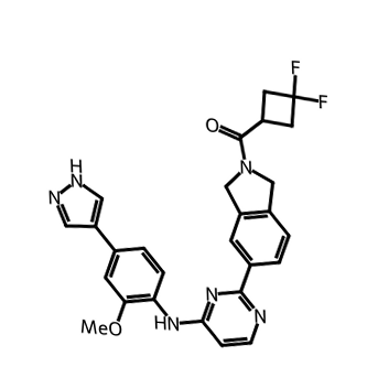 COc1cc(-c2cn[nH]c2)ccc1Nc1ccnc(-c2ccc3c(c2)CN(C(=O)C2CC(F)(F)C2)C3)n1